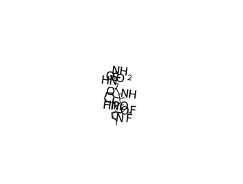 Cc1ccc(NC(=O)C2(c3ccccc3C(C)C)CNC2C(=O)CNS(N)(=O)=O)c(OC(F)F)n1